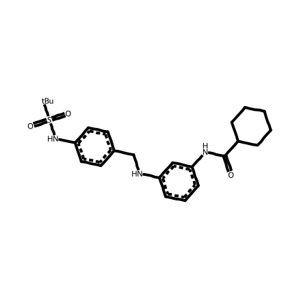 CC(C)(C)S(=O)(=O)Nc1ccc(CNc2cccc(NC(=O)C3CCCCC3)c2)cc1